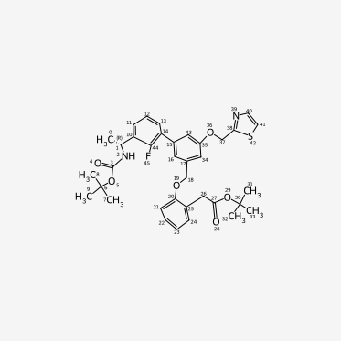 C[C@@H](NC(=O)OC(C)(C)C)c1cccc(-c2cc(COc3ccccc3CC(=O)OC(C)(C)C)cc(OCc3nccs3)c2)c1F